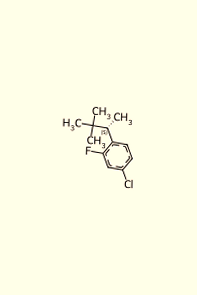 C[C@H](c1ccc(Cl)cc1F)C(C)(C)C